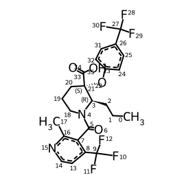 CCC[C@H]1N(C(=O)c2c(C(F)(F)F)ccnc2C)CCC[C@@]1(Oc1ccc(C(F)(F)F)cc1)C(=O)O